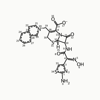 Nc1nc(C(=NO)C(=O)NC2C(=O)N3C(C(=O)[O-])=C(C[n+]4ccc5ccccc5c4)CS[C@@H]23)cs1